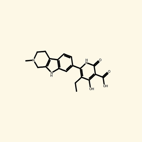 CCc1c(-c2ccc3c4c([nH]c3c2)CN(C)CC4)[nH]c(=O)c(C(=O)O)c1O